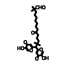 CC(C)(C=O)CCCCCCCC(=O)CCCC(C)(C)C(c1cc(=O)c(O)co1)c1cc(=O)c(O)co1